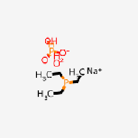 CCP(CC)CC.O.O=[PH]([O-])O.[Na+]